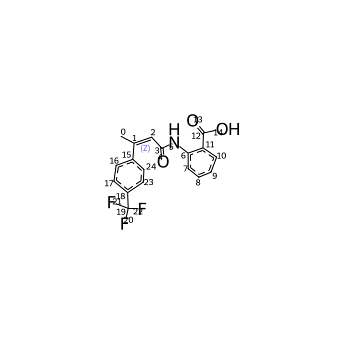 C/C(=C/C(=O)Nc1ccccc1C(=O)O)c1ccc(C(F)(F)F)cc1